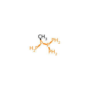 CP(P)P(P)P